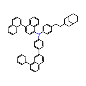 c1ccc(-c2cccc3ccc(-c4ccc(N(c5ccc(CCC6CC7CCCC(C7)C6)cc5)c5ccc(-c6cccc7ccccc67)c6ccccc56)cc4)cc23)cc1